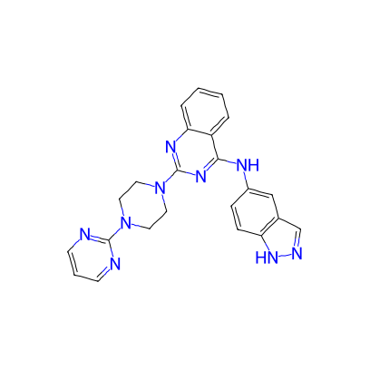 c1cnc(N2CCN(c3nc(Nc4ccc5[nH]ncc5c4)c4ccccc4n3)CC2)nc1